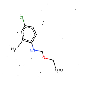 Cc1cc(Cl)ccc1NCOCC=O